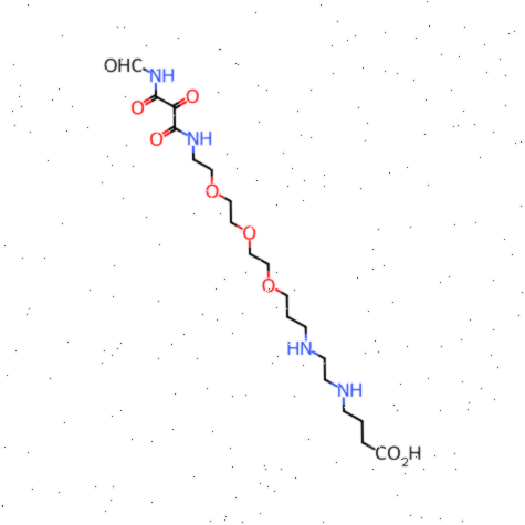 O=CNC(=O)C(=O)C(=O)NCCOCCOCCOCCCNCCNCCCC(=O)O